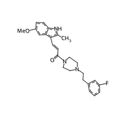 COc1ccc2[nH]c(C)c(/C=C/C(=O)N3CCN(CCc4cccc(F)c4)CC3)c2c1